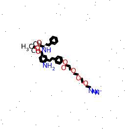 CC(C)(C)OC(=O)[C@H](CCc1ccccc1)NC(=O)c1ccc(N)c(CCc2ccc(OC(=O)CCOCCOCCOCCN=[N+]=[N-])cc2)c1